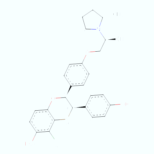 C[C@H]1CCCN1[C@@H](C)COc1ccc([C@@H]2Oc3ccc(O)c(F)c3S[C@@H]2c2ccc(O)cc2)cc1